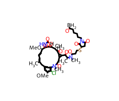 BC(=O)CCCCCN1C(=O)CC(SCCC(=O)N(C)[C@@H](C)C(=O)C2C3CC(=O)N(C)c4cc(cc(OC)c4Cl)C/C(C)=C/C=C/[C@@H](OC)[C@@]4(O)C[C@H](OC(=O)N4)[C@@H](C)[C@@H]4O[C@]324)C1=O